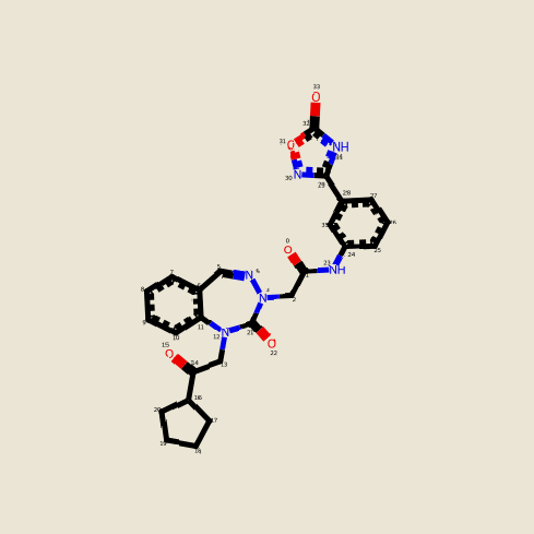 O=C(CN1N=Cc2ccccc2N(CC(=O)C2CCCC2)C1=O)Nc1cccc(-c2noc(=O)[nH]2)c1